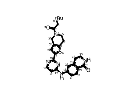 CC(C)(C)CC(=O)N1CCc2sc(-c3nccc(Nc4ccc5c(=O)[nH]ccc5c4)n3)cc2C1